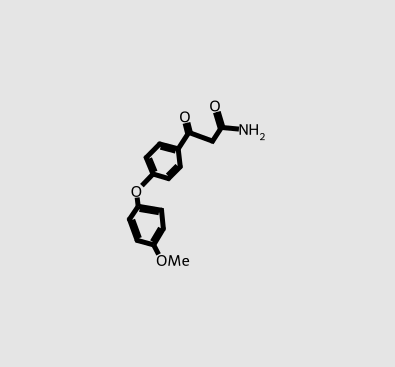 COc1ccc(Oc2ccc(C(=O)CC(N)=O)cc2)cc1